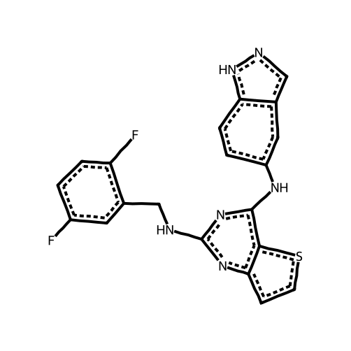 Fc1ccc(F)c(CNc2nc(Nc3ccc4[nH]ncc4c3)c3sccc3n2)c1